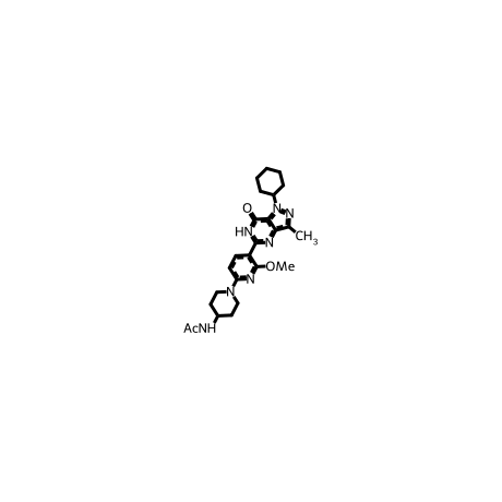 COc1nc(N2CCC(NC(C)=O)CC2)ccc1-c1nc2c(C)nn(C3CCCCC3)c2c(=O)[nH]1